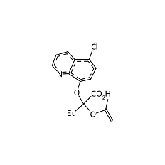 C=C(C)OC(CC)(Oc1ccc(Cl)c2cccnc12)C(=O)O